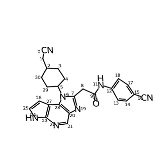 N#CCC1CCC(n2c(CC(=O)Nc3ccc(C#N)cc3)nc3cnc4[nH]ccc4c32)CC1